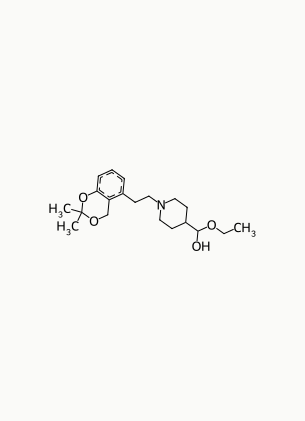 CCOC(O)C1CCN(CCc2cccc3c2COC(C)(C)O3)CC1